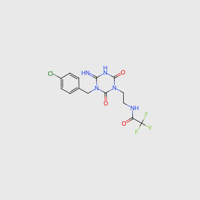 N=c1[nH]c(=O)n(CCNC(=O)C(F)(F)F)c(=O)n1Cc1ccc(Cl)cc1